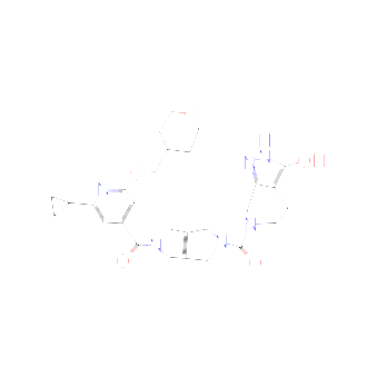 O=C(c1cc(OCC2CCOCC2)nc(C2CC2)c1)N1CC2=C(C1)CN(C(=O)N1CCc3c(n[nH]c3O)C1)C2